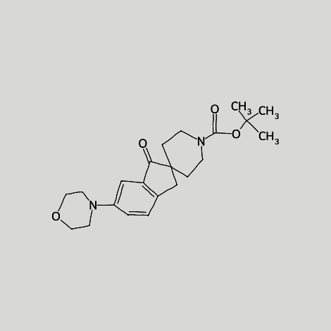 CC(C)(C)OC(=O)N1CCC2(CC1)Cc1ccc(N3CCOCC3)cc1C2=O